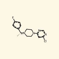 C[C@H](c1ccc(F)cc1)N1CCN(c2cc(Cl)ncn2)CC1